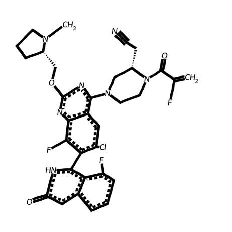 C=C(F)C(=O)N1CCN(c2nc(OC[C@@H]3CCCN3C)nc3c(F)c(-c4[nH]c(=O)cc5cccc(F)c45)c(Cl)cc23)C[C@@H]1CC#N